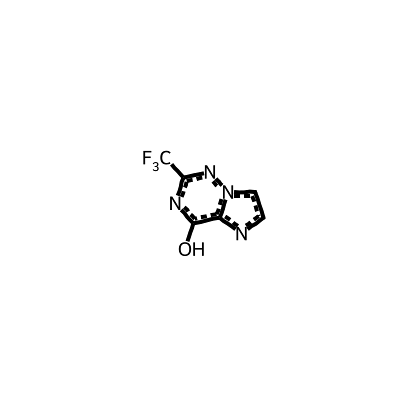 Oc1nc(C(F)(F)F)nn2ccnc12